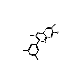 Cc1cc(C)cc(-c2nc3cc(F)c(C)cc3cc2C)c1